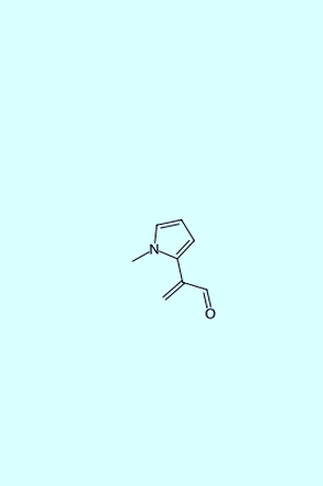 C=C(C=O)c1cccn1C